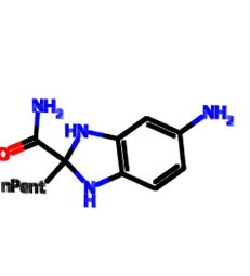 CCCCCC1(C(N)=O)Nc2ccc(N)cc2N1